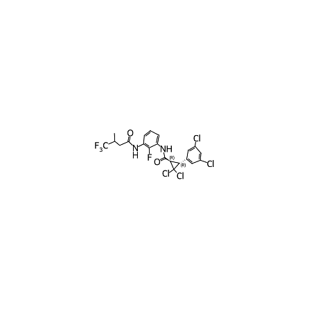 CC(CC(=O)Nc1cccc(NC(=O)[C@H]2[C@H](c3cc(Cl)cc(Cl)c3)C2(Cl)Cl)c1F)C(F)(F)F